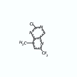 Cc1cc(C(F)(F)F)nc2cnc(Cl)nc12